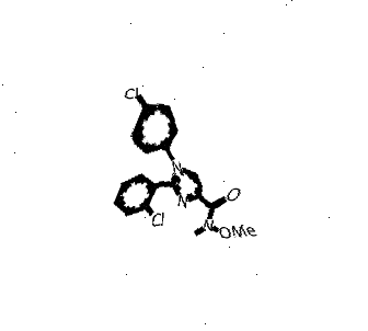 CON(C)C(=O)c1cn(-c2ccc(Cl)cc2)c(-c2ccccc2Cl)n1